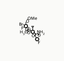 COCOCc1cc(CN(c2cc3oc(-c4ccc(F)cc4)c(C(N)=O)c3cc2C2CC2)S(C)(=O)=O)cc(F)c1Br